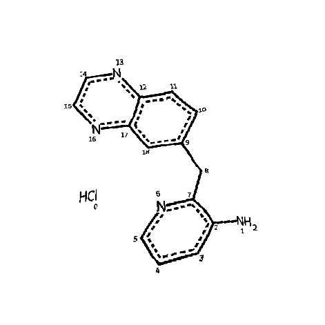 Cl.Nc1cccnc1Cc1ccc2nccnc2c1